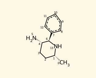 C[C@@H]1CC[C@H](N)[C@@H](c2ccccc2)N1